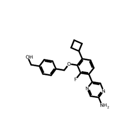 Nc1cnc(-c2ccc(C3CCC3)c(OCc3ccc(CO)cc3)c2F)cn1